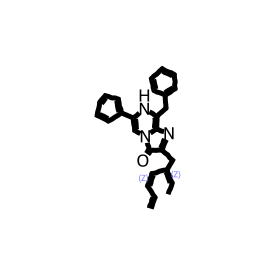 C=C/C=C\C(=C/C)Cc1nc2c(Cc3ccccc3)[nH]c(-c3ccccc3)cn-2c1=O